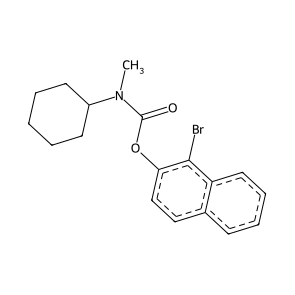 CN(C(=O)Oc1ccc2ccccc2c1Br)C1CCCCC1